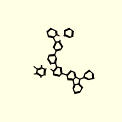 [2H]c1c([2H])c(C)c([2H])c(-n2c3ccc(-c4ccc5c(c4)-c4ccccc4C5c4ccccc4)cc3c3cc(-c4ccc5c(c4)c4ccccc4n5-c4ccccc4)ccc32)c1[2H]